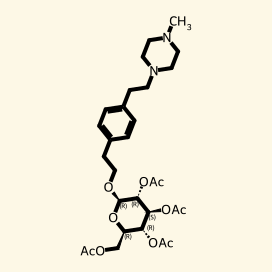 CC(=O)OC[C@H]1O[C@@H](OCCc2ccc(CCN3CCN(C)CC3)cc2)[C@H](OC(C)=O)[C@@H](OC(C)=O)[C@@H]1OC(C)=O